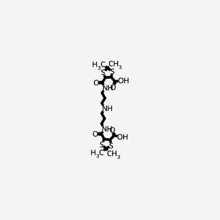 CC1(C)SC(C(=O)O)C(C(=O)NCCCNCCCNC(=O)C2SC(C)(C)SC2C(=O)O)S1